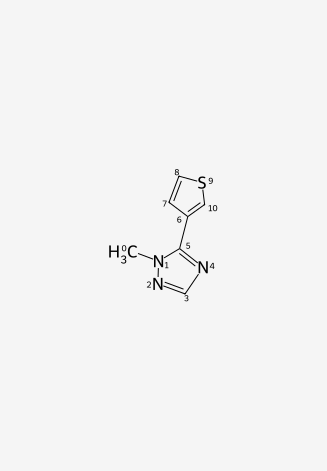 Cn1ncnc1-c1ccsc1